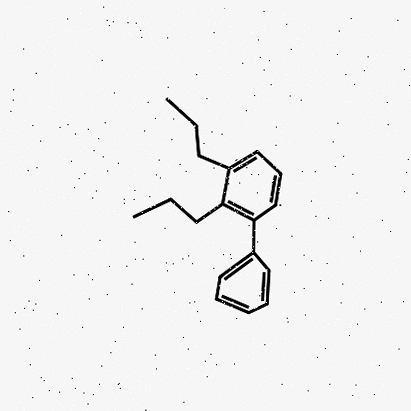 CCCc1cc[c]c(-c2ccccc2)c1CCC